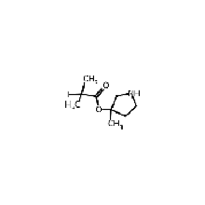 CC1(OC(=O)C(C)(C)I)CCNC1